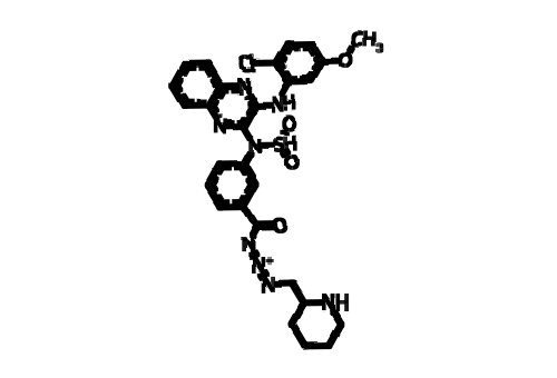 COc1ccc(Cl)c(Nc2nc3ccccc3nc2N(c2cccc(C(=O)N=[N+]=NCC3CCCCN3)c2)[SH](=O)=O)c1